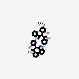 COc1ccc(C(c2c[nH]c3ccccc23)c2cn(-c3ccc(O)c(C(c4c[nH]c5ccccc45)c4c[nH]c5ccccc45)c3)c3ccccc23)c(O)c1